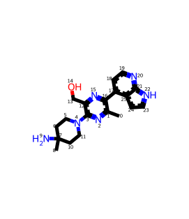 Cc1nc(N2CCC(C)(N)CC2)c(CO)nc1-c1ccnc2[nH]ccc12